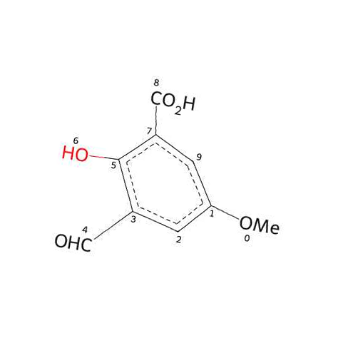 COc1cc(C=O)c(O)c(C(=O)O)c1